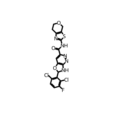 O=C(Nc1nc2c(s1)COCC2)c1cc2c(nn1)NC(c1c(Cl)ccc(F)c1Cl)O2